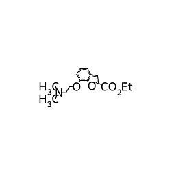 CCOC(=O)c1cc2cccc(OCCN(C)C)c2o1